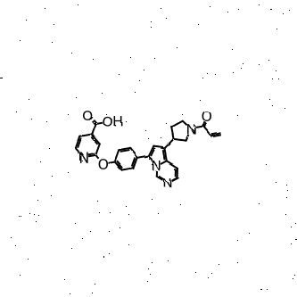 C=CC(=O)N1CCC(c2cc(-c3ccc(Oc4cc(C(=O)O)ccn4)cc3)n3cnccc23)C1